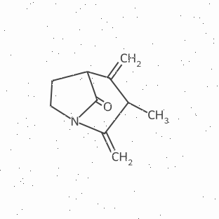 C=C1C(C)C(=C)N2CCC1C2=O